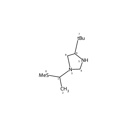 CSC(C)N1CNC(C(C)(C)C)C1